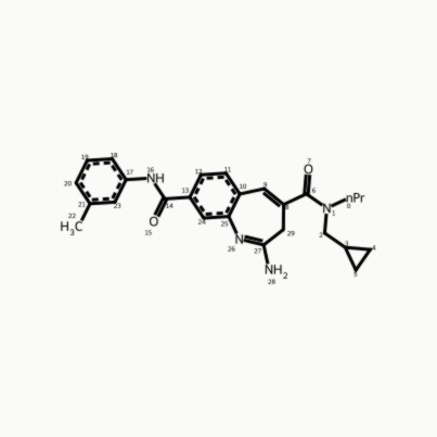 CCCN(CC1CC1)C(=O)C1=Cc2ccc(C(=O)Nc3cccc(C)c3)cc2N=C(N)C1